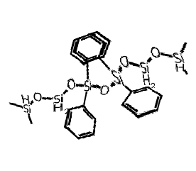 C[SiH](C)O[SiH2]O[Si](O[Si](O[SiH2]O[SiH](C)C)(c1ccccc1)c1ccccc1)(c1ccccc1)c1ccccc1